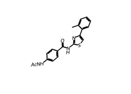 CC(=O)Nc1ccc(C(=O)Nc2nc(-c3ccccc3C)cs2)cc1